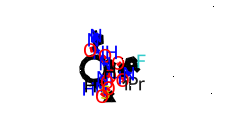 Cc1c(F)ccc2c(O[C@@H]3C[C@H]4C(=O)N[C@]5(C(=O)NS(=O)(=O)C6(C)CC6)C[C@H]5C=CCCCCC[C@H](NC(=O)c5ccn(C)n5)C(=O)N4C3)cc(OC(C)C)nc12